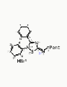 Br.CCCCC/N=c1\nc(-c2ccccc2)n(-c2ccccc2)s1